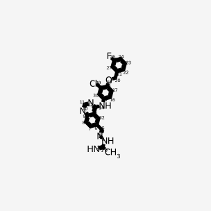 CC(=N)NN=Cc1ccc2ncnc(Nc3ccc(OCc4cccc(F)c4)c(Cl)c3)c2c1